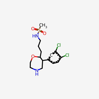 CS(=O)(=O)NCCCC1OCCNCC1c1ccc(Cl)c(Cl)c1